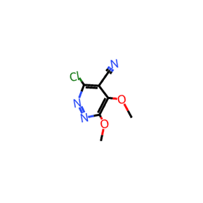 COc1nnc(Cl)c(C#N)c1OC